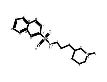 CN1CCCC(CCCNS(=O)(=O)c2ccc3ccccc3c2)C1